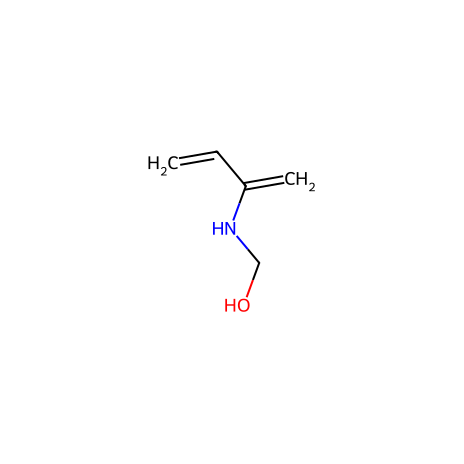 C=CC(=C)NCO